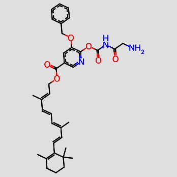 CC(C=CC1=C(C)CCCC1(C)C)=CC=CC(C)=CCOC(=O)c1cnc(OC(=O)NC(=O)CN)c(OCc2ccccc2)c1